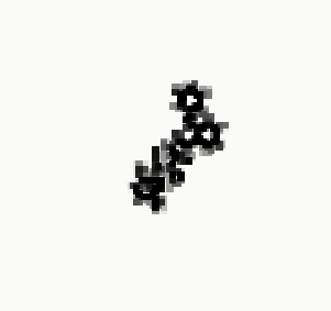 O=C(N[C@@H]1C[C@H]2CC[C@@H]1N2)c1ccc(-c2ccccc2Sc2ccccc2)o1